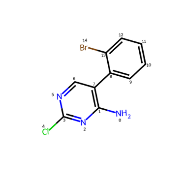 Nc1nc(Cl)ncc1-c1ccccc1Br